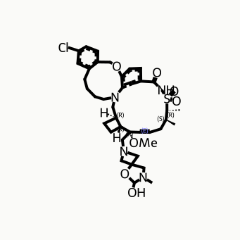 CO[C@@]1(CN2CC3(C2)CN(C)C(O)O3)/C=C/C[C@H](C)[C@@H](C)S(=O)(=O)NC(=O)c2ccc3c(c2)N(CCCCc2cc(Cl)ccc2CO3)C[C@@H]2CC[C@H]21